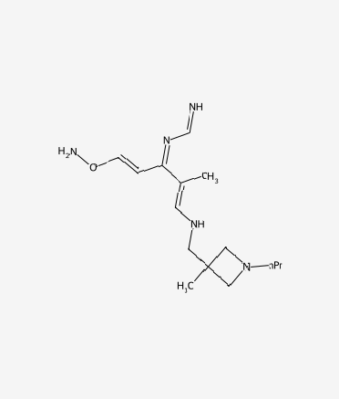 CCCN1CC(C)(CN/C=C(C)/C(/C=C/ON)=N\C=N)C1